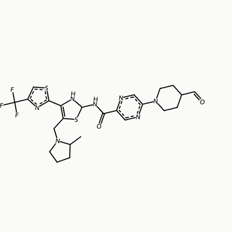 CC1CCCN1CC1=C(c2nc(C(F)(F)F)cs2)NC(NC(=O)c2cnc(N3CCC(C=O)CC3)cn2)S1